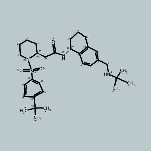 CC(C)(C)NCc1ccc2c(c1)CCC[C@H]2NC(=O)C[C@@H]1CCCCN1S(=O)(=O)c1ccc(C(C)(C)C)cc1